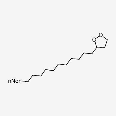 CCCCCCCCCCCCCCCCCCCCC1CCOO1